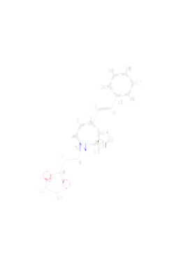 C(=Cc1cc[n+](CCC2OCCO2)cc1)c1ccccc1.[Br-]